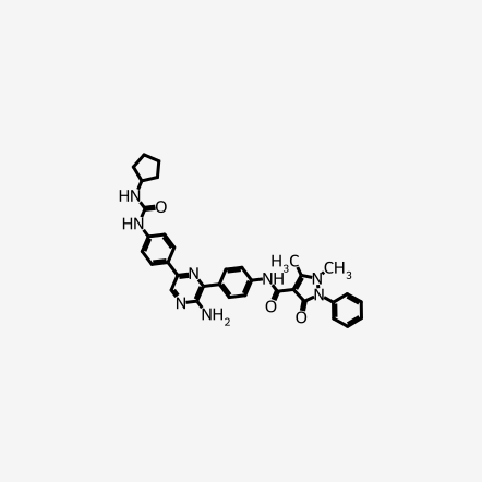 Cc1c(C(=O)Nc2ccc(-c3nc(-c4ccc(NC(=O)NC5CCCC5)cc4)cnc3N)cc2)c(=O)n(-c2ccccc2)n1C